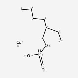 CCCCC(CC)CO[PH](=O)[O-].[Cu+]